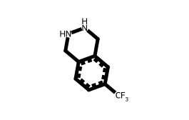 FC(F)(F)c1ccc2c(c1)CNNC2